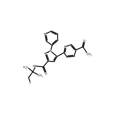 CC(=O)c1ccc(-c2cc(C(=O)NC(C)(C)CF)nn2-c2cccnc2)nc1